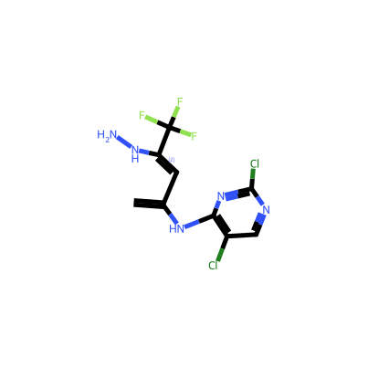 C=C(/C=C(\NN)C(F)(F)F)Nc1nc(Cl)ncc1Cl